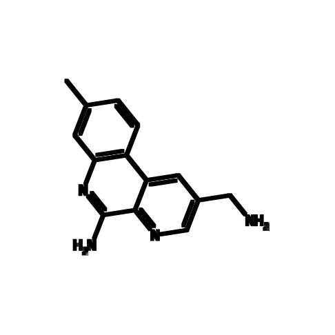 Cc1ccc2c(c1)nc(N)c1ncc(CN)cc12